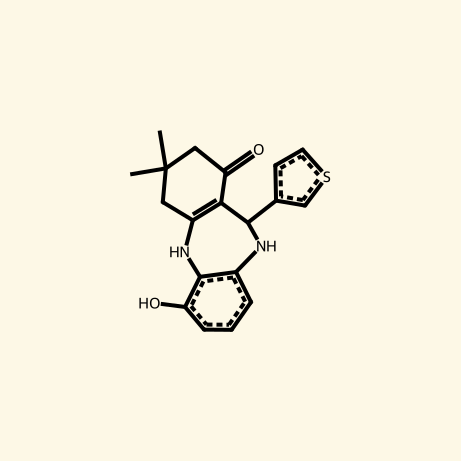 CC1(C)CC(=O)C2=C(C1)Nc1c(O)cccc1NC2c1ccsc1